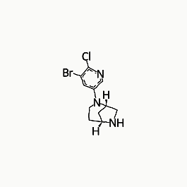 Clc1ncc(N2CC[C@@H]3C[C@H]2CN3)cc1Br